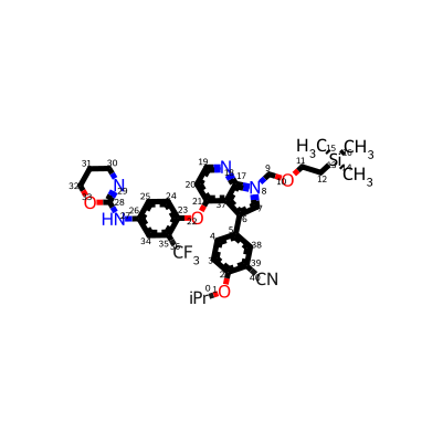 CC(C)Oc1ccc(-c2cn(COCC[Si](C)(C)C)c3nccc(Oc4ccc(NC5=NCCCO5)cc4C(F)(F)F)c23)cc1C#N